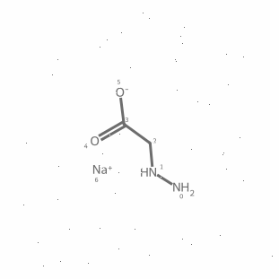 NNCC(=O)[O-].[Na+]